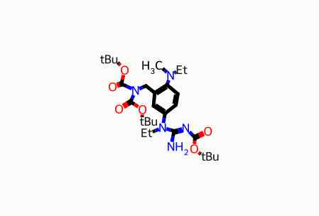 CCN(C)c1ccc(N(CC)C(N)=NC(=O)OC(C)(C)C)cc1CN(C(=O)OC(C)(C)C)C(=O)OC(C)(C)C